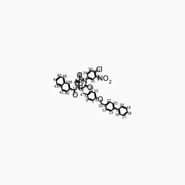 O=C(N[C@@H](Cc1ccc(OCc2ccc(-c3ccccc3)cc2)cc1)C(=O)N(c1ccc(Cl)c([N+](=O)[O-])c1)[SH](=O)=O)c1ccc2ccccc2c1